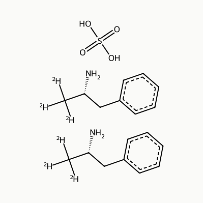 O=S(=O)(O)O.[2H]C([2H])([2H])[C@H](N)Cc1ccccc1.[2H]C([2H])([2H])[C@H](N)Cc1ccccc1